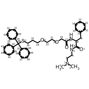 CN(C)CCNC(=O)C(Cc1ccccc1)NC(=O)COCCOCCCSC(c1ccccc1)(c1ccccc1)c1ccccc1